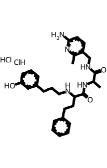 Cc1nc(N)ccc1CNC(=O)C(C)NC(=O)C(CCc1ccccc1)NCCCc1cccc(O)c1.Cl.Cl